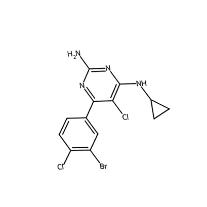 Nc1nc(NC2CC2)c(Cl)c(-c2ccc(Cl)c(Br)c2)n1